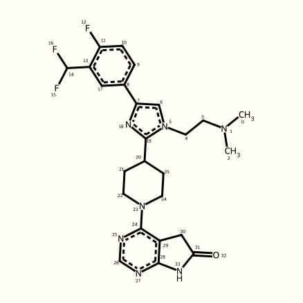 CN(C)CCn1cc(-c2ccc(F)c(C(F)F)c2)nc1C1CCN(c2ncnc3c2CC(=O)N3)CC1